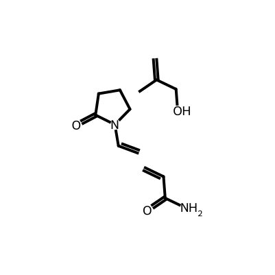 C=C(C)CO.C=CC(N)=O.C=CN1CCCC1=O